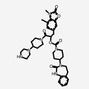 Cc1cc(CC(OC(=O)N2CCC(N3CCc4ccccc4NC3=O)CC2)C(=O)N2CCC(N3CCNCC3)CC2)cc2oc(=O)n(C)c12